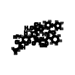 CCC[C@H](NC(=O)C1C[C@@]2(CN1C(=O)[C@@H](NC(=O)[C@@H](NC(=O)[C@@H]1CCCN1C1CCCC1)C1CCCCC1)C(C)(C)C)C(C)(C)C21CCC1)C(=O)C(=O)NC1CC1